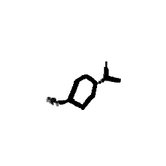 CCC[C@H]1CC[C@H](C(C)I)CC1